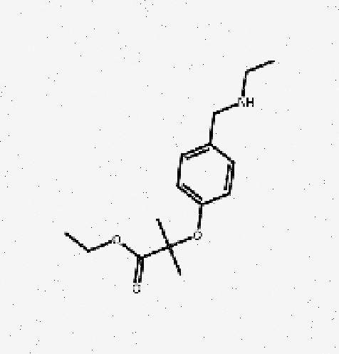 CCNCc1ccc(OC(C)(C)C(=O)OCC)cc1